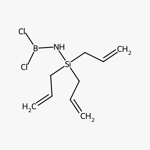 C=CC[Si](CC=C)(CC=C)NB(Cl)Cl